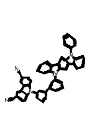 N#Cc1ccc2c(c1)c1cc(C#N)ccc1n2-c1cccc(-c2cccc(-n3c4ccccc4c4cc5c(cc43)c3ccccc3n5-c3ccccc3)c2)c1